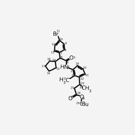 Cc1c(NC(=O)C(c2ccc(Br)cc2)C2CCCC2)cccc1C(C)CC(=O)OC(C)(C)C